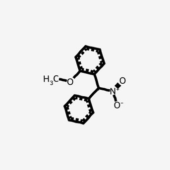 COc1ccccc1[C](c1ccccc1)[N+](=O)[O-]